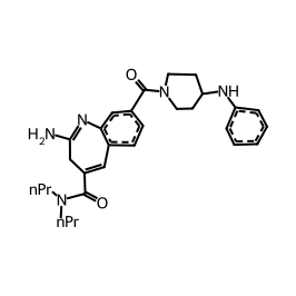 CCCN(CCC)C(=O)C1=Cc2ccc(C(=O)N3CCC(Nc4ccccc4)CC3)cc2N=C(N)C1